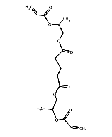 C=CC(=O)OC(C)COC(=O)CCCC(=O)OCC(C)OC(=O)C=C